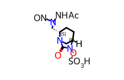 CC(=O)NN(C[C@@H]1CC[C@H]2CN1C(=O)N2OS(=O)(=O)O)N=O